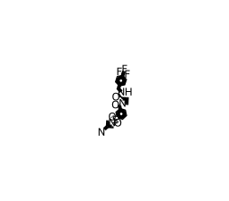 N#CC1CN(S(=O)(=O)c2cccc(C(=O)N3CC[C@@H]3C(=O)NCc3ccc(C(F)(F)F)cc3)c2)C1